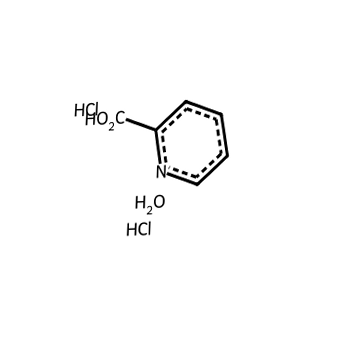 Cl.Cl.O.O=C(O)c1ccccn1